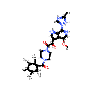 [2H]c1c([2H])c(C(=O)N2CCN(C(=O)C(=O)c3c[nH]c4c(-n5cnc(C)n5)ncc(OC)c34)CC2)c([2H])c([2H])c1C